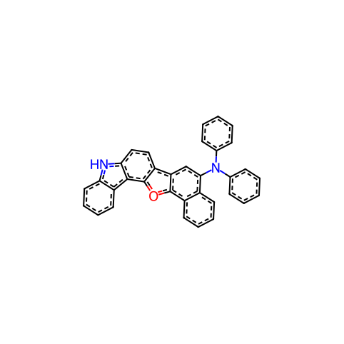 c1ccc(N(c2ccccc2)c2cc3c4ccc5[nH]c6ccccc6c5c4oc3c3ccccc23)cc1